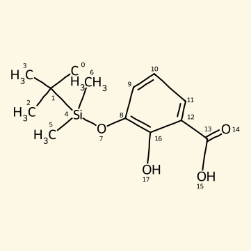 CC(C)(C)[Si](C)(C)Oc1cccc(C(=O)O)c1O